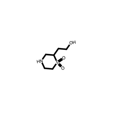 O=S1(=O)CCNCC1CCO